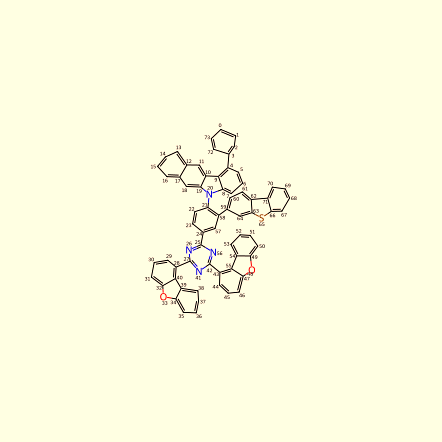 c1ccc(-c2cccc3c2c2cc4ccccc4cc2n3-c2ccc(-c3nc(-c4cccc5oc6ccccc6c45)nc(-c4cccc5oc6ccccc6c45)n3)cc2-c2ccc3c(c2)sc2ccccc23)cc1